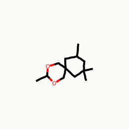 CC1CC(C)(C)CC2(COC(C)OC2)C1